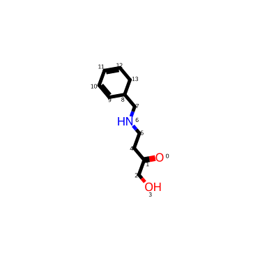 O=C(CO)CCNCC1C=CC=CC1